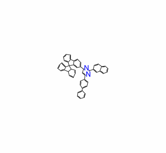 C1=CC2c3ccccc3C3(c4ccccc4-c4ccc(-c5cc(-c6ccc(-c7ccccc7)cc6)nc(-c6ccc7ccccc7c6)n5)cc43)C2C=C1